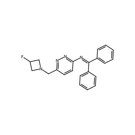 FC1CN(Cc2ccc(N=C(c3ccccc3)c3ccccc3)nn2)C1